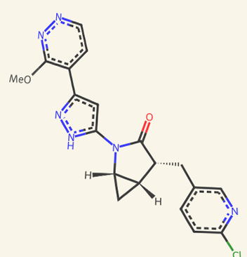 COc1nnccc1-c1cc(N2C(=O)[C@H](Cc3ccc(Cl)nc3)[C@@H]3C[C@@H]32)[nH]n1